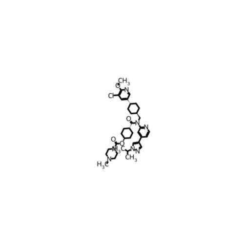 COc1ncc([C@H]2CC[C@H](CN(c3cc(-c4cnn(C(C)C)c4)ccn3)C(=O)[C@H]3CC[C@H](OC(=O)N4CCN(C)CC4)CC3)CC2)cc1Cl